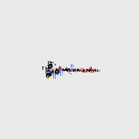 CCN(C(=O)Cn1c(C(=O)N[C@H]2CC[C@H](C(=O)NCCCCCC(=O)NCCOCCOCCOCCC(=O)OC(C)(C)C)CC2)cc2sccc21)c1cccc(C)c1